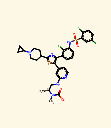 C[C@@H](CNc1cc(-c2sc(C3CCN(C4CC4)CC3)nc2-c2cccc(NS(=O)(=O)c3cc(F)ccc3F)c2F)ccn1)N(C)C(=O)O